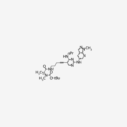 CCCNc1nc(Nc2cnc3c(cnn3C)c2)ncc1C#CCCCNC(=O)[C@H](C)N(C)C(=O)OC(C)(C)C